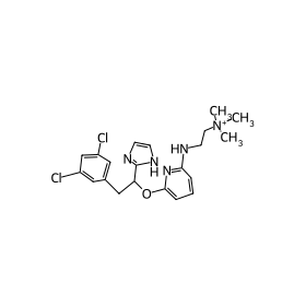 C[N+](C)(C)CCNc1cccc(OC(Cc2cc(Cl)cc(Cl)c2)c2ncc[nH]2)n1